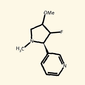 COC1CN(C)[C@H](c2cccnc2)C1F